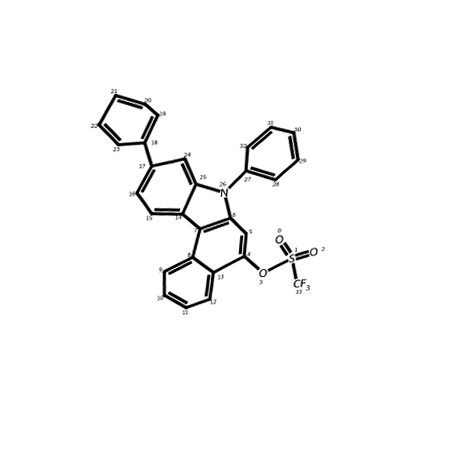 O=S(=O)(Oc1cc2c(c3ccccc13)c1ccc(-c3ccccc3)cc1n2-c1ccccc1)C(F)(F)F